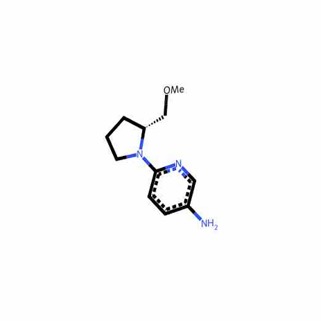 COC[C@H]1CCCN1c1ccc(N)cn1